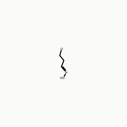 [O]CCC=NO